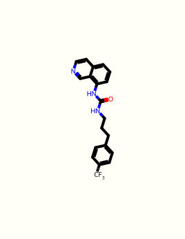 O=C(NCCCc1ccc(C(F)(F)F)cc1)Nc1cccc2ccncc12